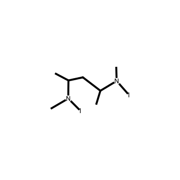 CC(CC(C)N(C)I)N(C)I